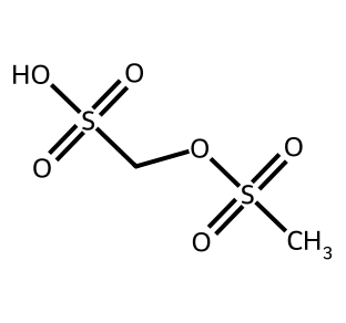 CS(=O)(=O)OCS(=O)(=O)O